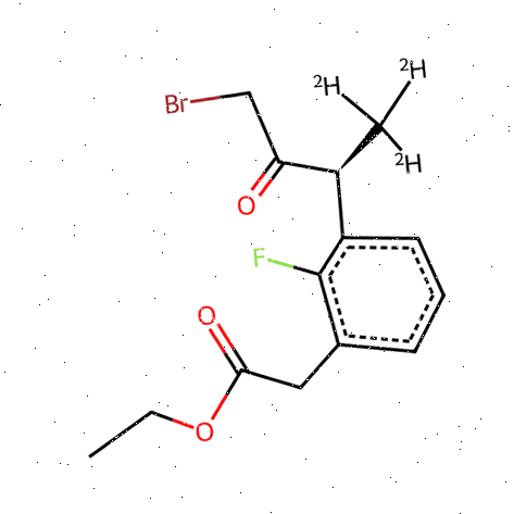 [2H]C([2H])([2H])[C@H](C(=O)CBr)c1cccc(CC(=O)OCC)c1F